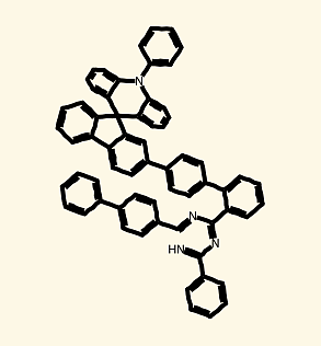 N=C(/N=C(\N=C\c1ccc(-c2ccccc2)cc1)c1ccccc1-c1ccc(-c2ccc3c(c2)C2(c4ccccc4-3)c3ccccc3N(c3ccccc3)c3ccccc32)cc1)c1ccccc1